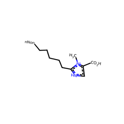 CCCCCCCCCCCCCCc1[nH]cc(C(=O)O)[n+]1C